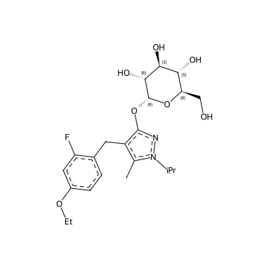 CCOc1ccc(Cc2c(O[C@H]3O[C@H](CO)[C@@H](O)[C@H](O)[C@H]3O)nn(C(C)C)c2C)c(F)c1